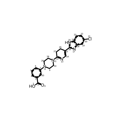 O=C(O)c1cccc(N2CCN(C3=NC=C(c4nc5cc(Cl)ccc5[nH]4)CC3)CC2)c1